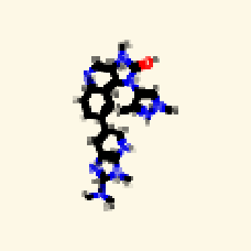 Cc1nn(C)cc1-n1c(=O)n(C)c2cnc3ccc(-c4cnc5c(c4)nc(N(C)C)n5C)cc3c21